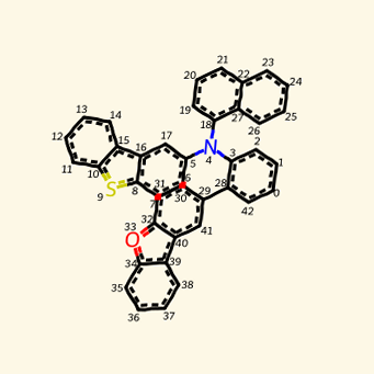 c1ccc(N(c2ccc3sc4ccccc4c3c2)c2cccc3ccccc23)c(-c2ccc3oc4ccccc4c3c2)c1